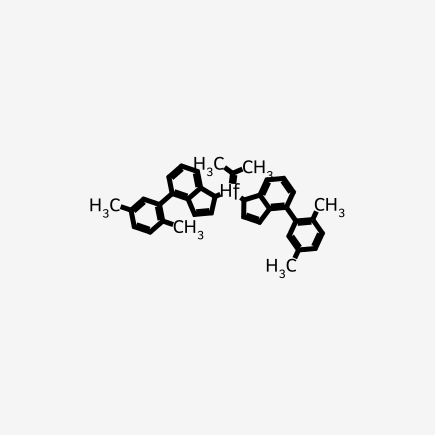 C[C](C)=[Hf]([CH]1C=Cc2c(-c3cc(C)ccc3C)cccc21)[CH]1C=Cc2c(-c3cc(C)ccc3C)cccc21